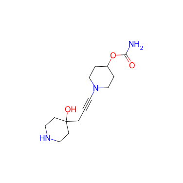 NC(=O)OC1CCN(C#CCC2(O)CCNCC2)CC1